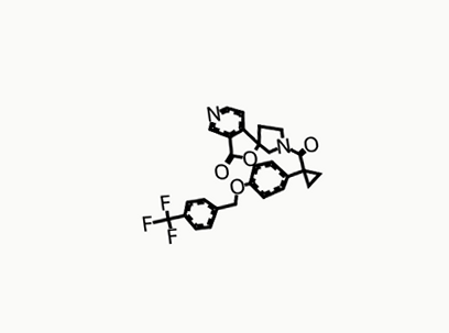 O=C1OC2(CCN(C(=O)C3(c4ccc(OCc5ccc(C(F)(F)F)cc5)cc4)CC3)C2)c2ccncc21